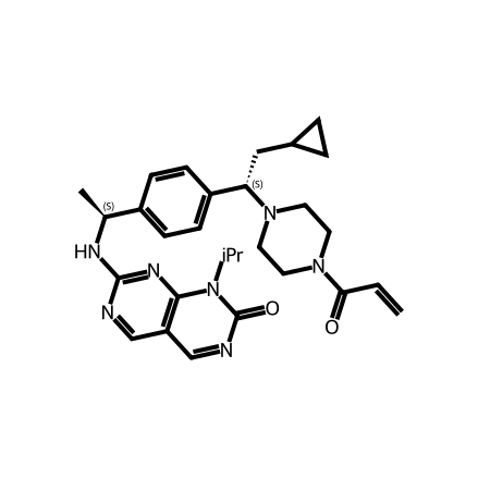 C=CC(=O)N1CCN([C@@H](CC2CC2)c2ccc([C@H](C)Nc3ncc4cnc(=O)n(C(C)C)c4n3)cc2)CC1